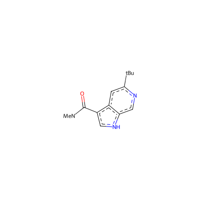 CNC(=O)c1c[nH]c2cnc(C(C)(C)C)cc12